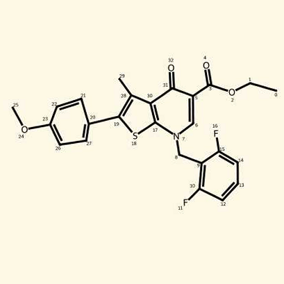 CCOC(=O)c1cn(Cc2c(F)cccc2F)c2sc(-c3ccc(OC)cc3)c(C)c2c1=O